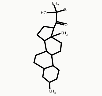 BC(O)(Br)C(=O)C1CCC2C3CCC4CC(C)CCC4C3CCC12C